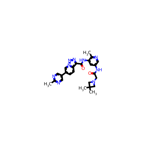 Cc1ncc(-c2ccc3c(C(=O)Nc4cc(NC(=O)CN5CC(C)(C)C5)cnc4C)nnn3c2)cn1